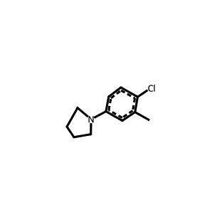 Cc1cc(N2CCCC2)ccc1Cl